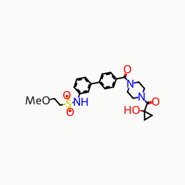 COCCS(=O)(=O)Nc1cccc(-c2ccc(C(=O)N3CCN(C(=O)C4(O)CC4)CC3)cc2)c1